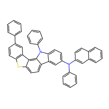 c1ccc(-c2ccc3sc4ccc5c6cc(N(c7ccccc7)c7ccc8ccccc8c7)ccc6n(-c6ccccc6)c5c4c3c2)cc1